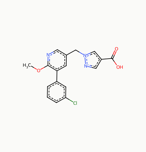 COc1ncc(Cn2cc(C(=O)O)cn2)cc1-c1cccc(Cl)c1